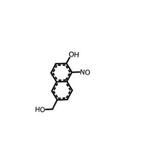 O=Nc1c(O)ccc2cc(CO)ccc12